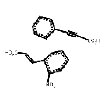 O=C(O)/C=C/c1ccccc1[N+](=O)[O-].O=C(O)C#Cc1ccccc1